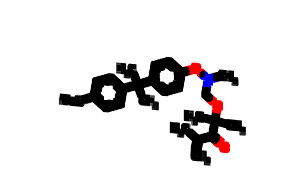 C=C(C)C(=O)C(C)(C)OCN(C)Oc1ccc(C(C)(C)c2ccc(OC)cc2)cc1